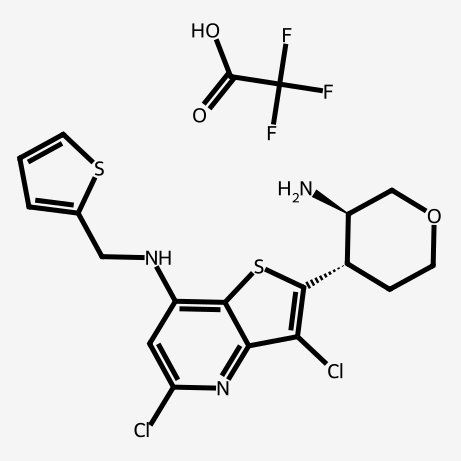 N[C@H]1COCC[C@@H]1c1sc2c(NCc3cccs3)cc(Cl)nc2c1Cl.O=C(O)C(F)(F)F